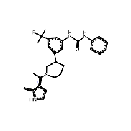 C=c1[nH]cc/c1=C(/C)N1CCCC(c2cc(NC(=O)Nc3ccccc3)cc(C(C)(C)F)c2)C1